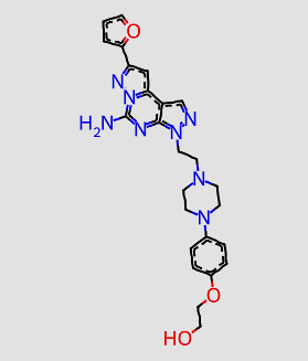 Nc1nc2c(cnn2CCN2CCN(c3ccc(OCCO)cc3)CC2)c2cc(-c3ccco3)nn12